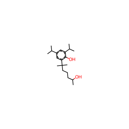 CC(O)CCCC(C)(C)c1cc(C(C)C)cc(C(C)C)c1O